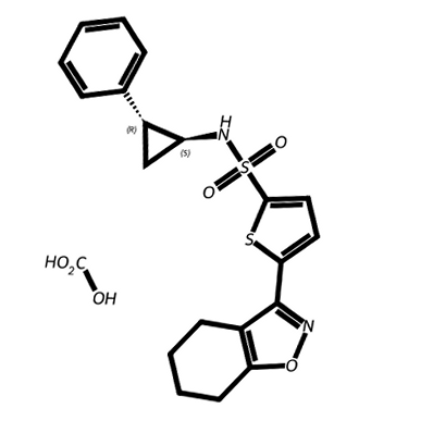 O=C(O)O.O=S(=O)(N[C@H]1C[C@@H]1c1ccccc1)c1ccc(-c2noc3c2CCCC3)s1